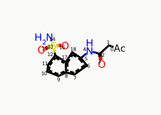 CC(=O)CC(=O)Nc1ccc2cccc(S(N)(=O)=O)c2c1